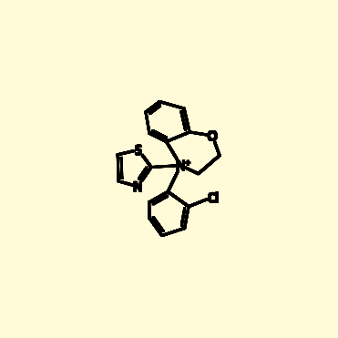 Clc1ccccc1[N+]1(c2nccs2)CCOc2ccccc21